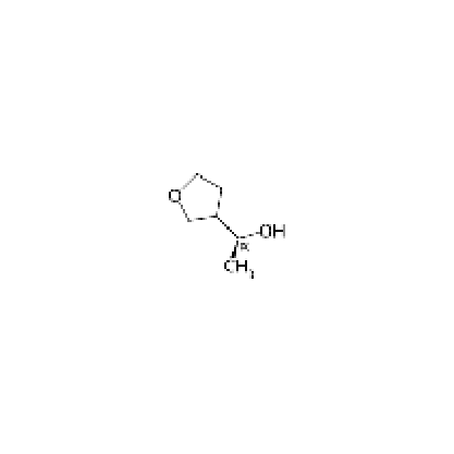 C[C@H](O)C1CCOC1